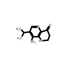 Cc1c(C(C)C)cnc2c1NCCC2=O